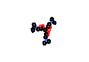 O=c1oc2cc(-n3c4ccccc4c4ccccc43)ccc2cc1-c1cc(-c2cc3ccc(-n4c5ccccc5c5ccccc54)cc3oc2=O)cc(-c2cc3ccc(-n4c5ccccc5c5ccccc54)cc3oc2=O)c1